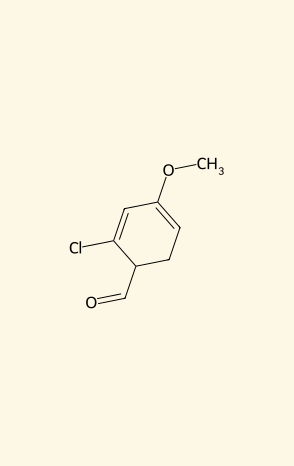 COC1=CCC(C=O)C(Cl)=C1